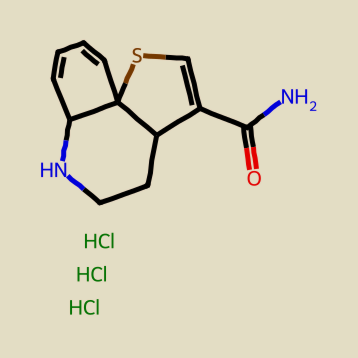 Cl.Cl.Cl.NC(=O)C1=CSC23C=CC=CC2NCCC13